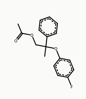 CC(=O)OCC(C)(Oc1ccc(F)cc1)c1ccccc1